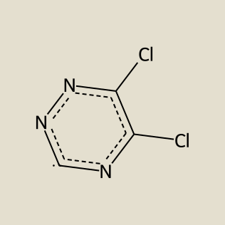 Clc1n[c]nnc1Cl